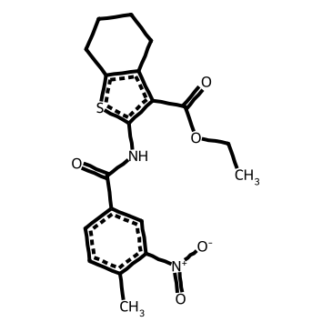 CCOC(=O)c1c(NC(=O)c2ccc(C)c([N+](=O)[O-])c2)sc2c1CCCC2